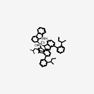 CCC(C)c1ccccc1-c1cccc2c1C=C(CC(C)C)[CH]2[Zr]([Cl])([Cl])([c]1cccc2c1[SiH2]c1ccccc1-2)[CH]1C(CC(C)C)=Cc2c(-c3ccccc3C(C)CC)cccc21